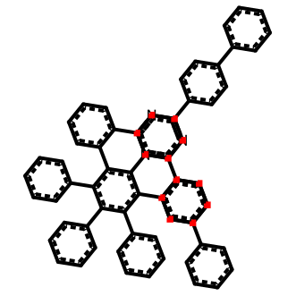 c1ccc(-c2ccc(-c3nc(-c4ccc(-c5ccccc5)cc4)nc(-c4ccccc4-c4c(-c5ccccc5)c(-c5ccccc5)c(-c5ccccc5)c(-c5ccccc5)c4-c4ccccc4)n3)cc2)cc1